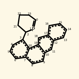 C1=PC(c2cccc3ccc4cc5ccccc5cc4c23)CCC1